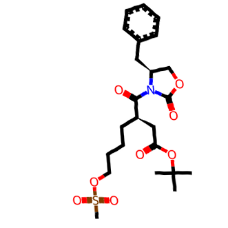 CC(C)(C)OC(=O)C[C@@H](CCCCOS(C)(=O)=O)C(=O)N1C(=O)OC[C@@H]1Cc1ccccc1